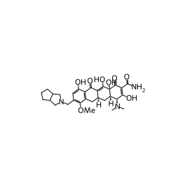 COc1c(CN2CC3CCCC3C2)cc(O)c2c1C[C@H]1C[C@H]3[C@H](N(C)C)C(O)=C(C(N)=O)C(=O)[C@@]3(O)C(O)=C1C2=O